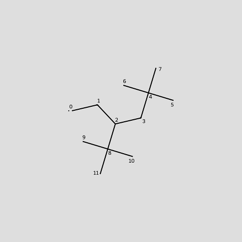 [CH2]CC(CC(C)(C)C)C(C)(C)C